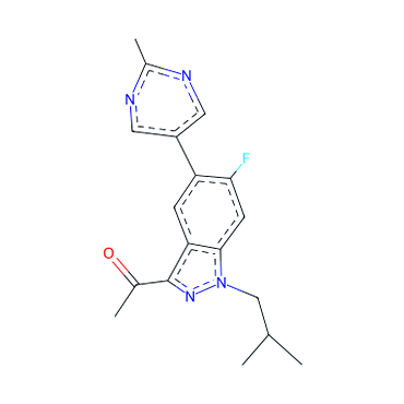 CC(=O)c1nn(CC(C)C)c2cc(F)c(-c3cnc(C)nc3)cc12